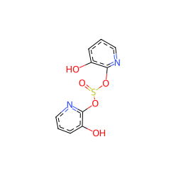 O=S(Oc1ncccc1O)Oc1ncccc1O